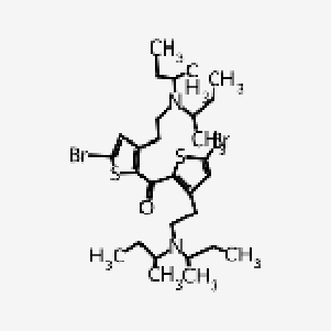 CCC(C)N(CCc1cc(Br)sc1C(=O)c1sc(Br)cc1CCN(C(C)CC)C(C)CC)C(C)CC